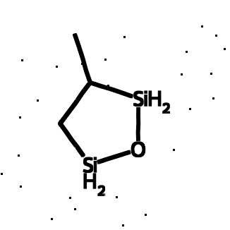 CC1C[SiH2]O[SiH2]1